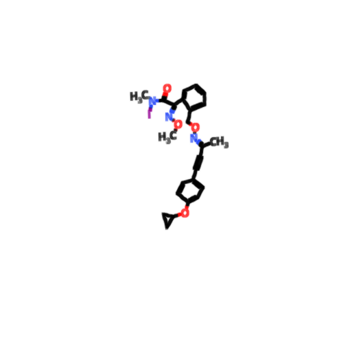 CO/N=C(/C(=O)N(C)I)c1ccccc1CO/N=C(\C)C#Cc1ccc(OC2CC2)cc1